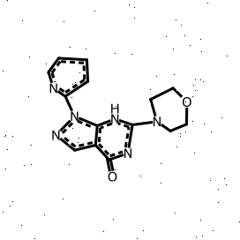 O=c1nc(N2CCOCC2)[nH]c2c1cnn2-c1ccccn1